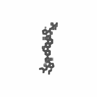 CCC[C@H]1CCC(c2ncc(-c3ccc4c(c3)COc3cc5c(ccc6nc([C@@H]7CC[C@H](C)N7C(=O)CNC(=O)OC)[nH]c65)cc3-4)[nH]2)N1C(=O)CC(C)CC